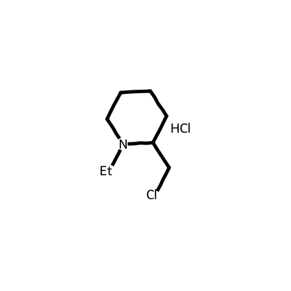 CCN1CCCCC1CCl.Cl